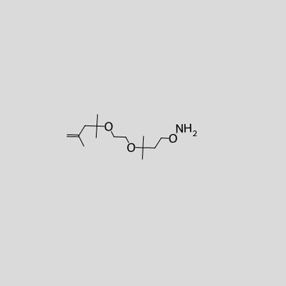 C=C(C)CC(C)(C)OCCOC(C)(C)CCON